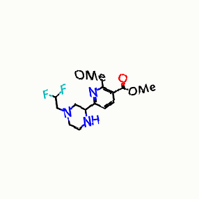 COC(=O)c1ccc(C2CN(CC(F)F)CCN2)nc1OC